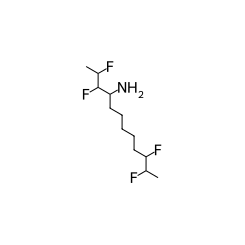 CC(F)C(F)CCCCCC(N)C(F)C(C)F